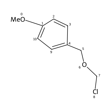 COc1ccc(COCCl)cc1